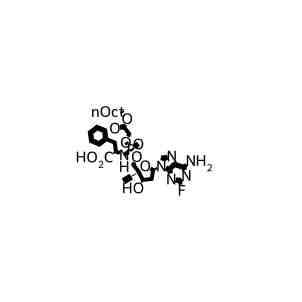 C#C[C@]1(COP(=O)(N[C@@H](Cc2ccccc2)C(=O)O)OCC(=O)OCCCCCCCC)O[C@@H](n2cnc3c(N)nc(F)nc32)C[C@@H]1O